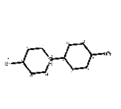 CCCC1CCC([SiH]2CCC(Br)CC2)CC1